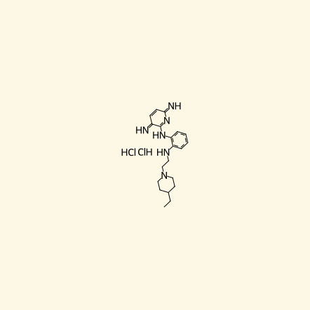 CCC1CCN(CCNc2ccccc2NC2=NC(=N)C=CC2=N)CC1.Cl.Cl